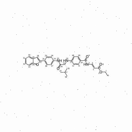 CCOC(=O)C=CNC(=O)c1ccc(N[C@H](CC(C)C)C(=O)Nc2ccc(-c3cc4ccccc4o3)cc2)cc1